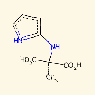 CC(Nc1ccc[nH]1)(C(=O)O)C(=O)O